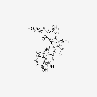 CCC[C@@]1(C)C(C2C[C@H]3O[C@]34[C@@H](O)C=CC(=O)[C@@]43CC23)CCC1[C@H](C)C1CC(C)=C(COS(=O)(=O)O)C(=O)O1